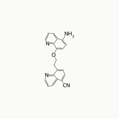 N#Cc1ccc(CCOc2ccc(N)c3cccnc23)c2ncccc12